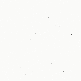 CC(=O)SCC(=O)C1=CC=C2C=CC3=CC=CC4=CC=C1C2C34